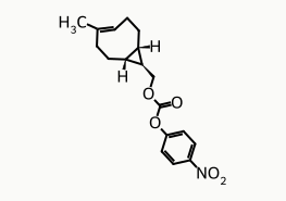 C/C1=C\CC[C@H]2[C@@H](CC1)[C@@H]2COC(=O)Oc1ccc([N+](=O)[O-])cc1